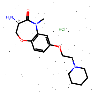 CN1C(=O)[C@@H](N)COc2ccc(OCCN3CCCCC3)cc21.Cl